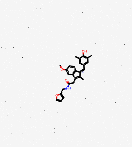 COc1ccc2c(c1)C(CC(=O)NCc1ccco1)=C(C)/C2=C/c1cc(C)c(O)c(C)c1